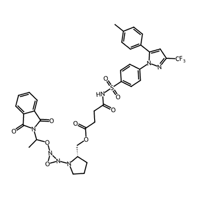 Cc1ccc(-c2cc(C(F)(F)F)nn2-c2ccc(S(=O)(=O)NC(=O)CCC(=O)OC[C@@H]3CCCN3n3on3OC(C)N3C(=O)c4ccccc4C3=O)cc2)cc1